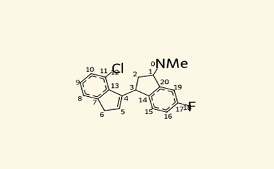 CNC1CC(C2=CCc3cccc(Cl)c32)c2ccc(F)cc21